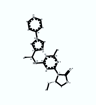 CC[C@H]1COC(=O)N1c1nc(C)nc(N[C@@H](C)c2cn(-c3ccncc3)cn2)n1